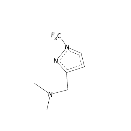 CN(C)Cc1ccn(C(F)(F)F)n1